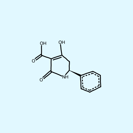 O=C(O)C1=C(O)C[C@@H](c2ccccc2)NC1=O